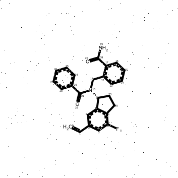 C=Cc1cc(F)c2c(c1)[C@H](N(Cc1ccccc1C(N)=O)C(=O)c1ccccc1)CC2